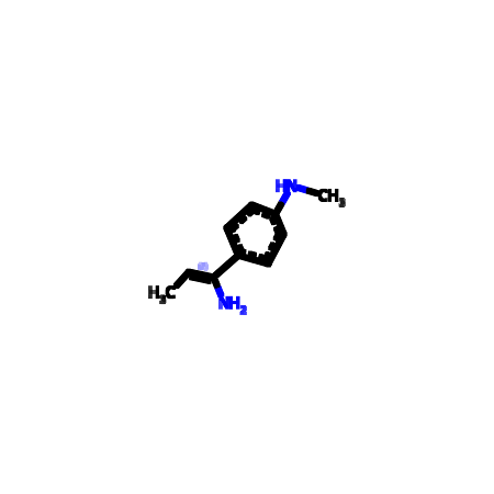 C/C=C(\N)c1ccc(NC)cc1